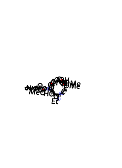 CC/C=C/C[C@@H]1/C=C(\C)C[C@H](C)C[C@H](OC)[C@H]2O[C@@](O)(C(=O)C(=O)N3CCCC[C@H]3C(=O)O[C@H](/C(C)=C/[C@@H]3CC[C@@H](OC(=O)N4CCN(CCN5CCCC5)CC4)[C@H](OC)C3)[C@H](C)[C@@H](O)CC1=O)[C@H](C)C[C@@H]2OC